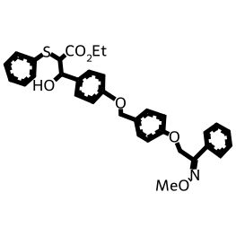 CCOC(=O)C(Sc1ccccc1)C(O)c1ccc(OCc2ccc(OC/C(=N\OC)c3ccccc3)cc2)cc1